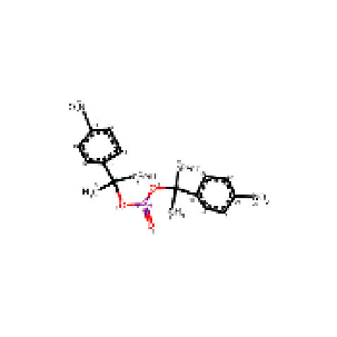 CCCCCC(C)(O[PH](=O)OC(C)(CCCCC)c1ccc([N+](=O)[O-])cc1)c1ccc([N+](=O)[O-])cc1